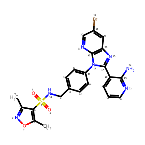 Cc1noc(C)c1S(=O)(=O)NCc1ccc(-n2c(-c3cccnc3N)nc3cc(Br)cnc32)cc1